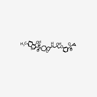 Cc1ccc2c(O)c(S(=O)(=O)N3CCC4(CC3)CC(NCC(O)COc3cccc(S(=O)(=O)C5CC5)c3)CO4)cnc2c1